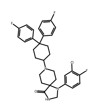 O=C1NCN(c2ccc(F)c(Cl)c2)C12CCN(C1CCC(c3ccc(F)cc3)(c3ccc(F)cc3)CC1)CC2